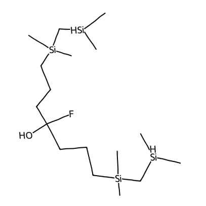 C[SiH](C)C[Si](C)(C)CCCC(O)(F)CCC[Si](C)(C)C[SiH](C)C